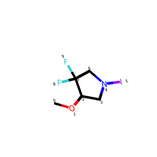 COC1CN(I)CC1(F)F